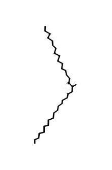 CCCCCCCCCCCCCCCC(=O)CC(C)C(=O)CCCCCCCCCCCCCCC